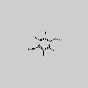 CNc1c(C)c(C)c([N+](=O)[O-])c(C)c1C